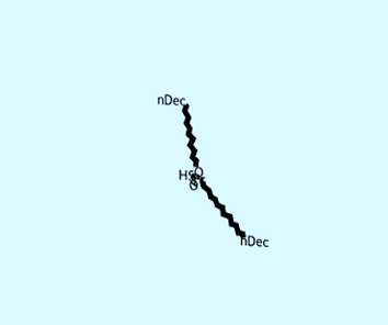 CCCCCCCCCCCCCCCCCCCCCCOP(=O)(S)SCCCCCCCCCCCCCCCCCCCCCC